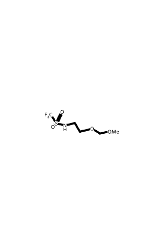 COCOCCNS(=O)(=O)C(F)(F)F